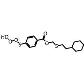 O=C(OCSCCC1CCCCC1)c1ccc(SOOO)cc1